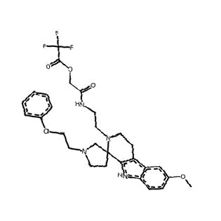 COc1ccc2[nH]c3c(c2c1)CCN(CCNC(=O)COC(=O)C(F)(F)F)C31CCN(CCOc2ccccc2)C1